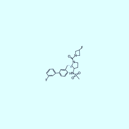 CS(=O)(=O)NC1CCN(C(=O)N2CC(F)C2)[C@H]1Cc1cccc(-c2cccc(F)c2)c1